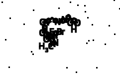 Cn1cnc2c(F)c(Nc3ccc(Br)cc3F)c(C(=O)NOCC(=O)N3CCC(C(=O)N4CCC(CC5CCN(CC6CCN(c7cccc(C8CCC(=O)NC8=O)c7)CC6)CC5)CC4)CC3)cc21